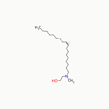 CCCCCCCC/C=C\CCCCCCCCN(C)CCO